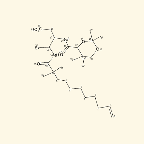 C=CCCCCCCCC(C)(C)C(=O)NC(CC)C(CC(=O)O)NC(=O)C1OC(C)(C)OCC1(C)C